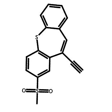 C#CC1=Cc2ccccc2Sc2ccc(S(C)(=O)=O)cc21